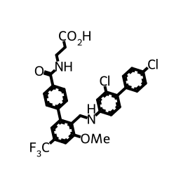 COc1cc(C(F)(F)F)cc(-c2ccc(C(=O)NCCC(=O)O)cc2)c1CNc1ccc(-c2ccc(Cl)cc2)c(Cl)c1